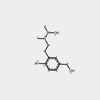 CB(O)N(C)CCc1cc(CO)ccc1C(C)C